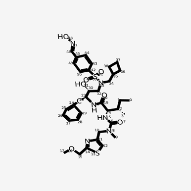 CC[C@H](C)[C@H](NC(=O)N(C)Cc1csc(COC)n1)C(=O)N[C@@H](Cc1ccccc1)[C@H](O)CN(CC1CCC1)S(=O)(=O)c1ccc(C=NO)cc1